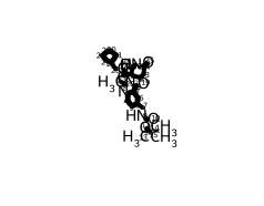 Cc1nc2ccc(CNC(=O)OC(C)(C)C)cc2c(=O)n1C1(C(=O)OCc2ccccc2)CCC(=O)NC1=O